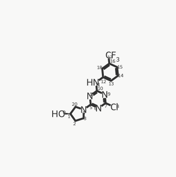 O[C@@H]1CCN(c2nc(Cl)nc(Nc3cccc(C(F)(F)F)c3)n2)C1